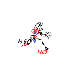 COC(=O)[C@@H]1C[C@]2(CCc3c(c(CCCCC[C@@H]4C[C@H]4O)nc4ccc(OC)cc34)O2)CN1C(=O)OC(C)(C)C